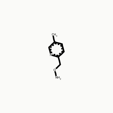 Cc1ccc(CON)nc1